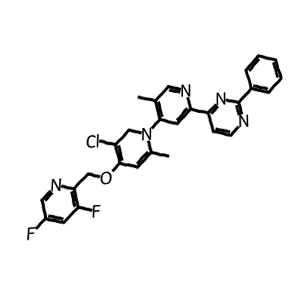 CC1=CC(OCc2ncc(F)cc2F)=C(Cl)CN1c1cc(-c2ccnc(-c3ccccc3)n2)ncc1C